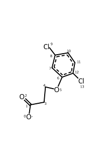 [O]C(=O)CCOc1cc(Cl)ccc1Cl